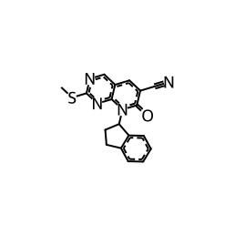 CSc1ncc2cc(C#N)c(=O)n(C3CCc4ccccc43)c2n1